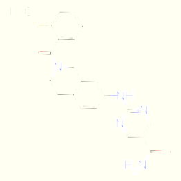 CSc1ccccc1C(=O)N1CCc2ccc(Nc3ncc(C(N)=O)cn3)cc2C1